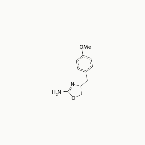 COc1ccc(CC2COC(N)=N2)cc1